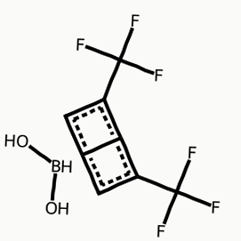 FC(F)(F)c1cc2cc(C(F)(F)F)c1-2.OBO